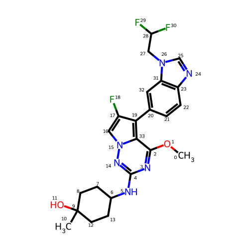 COc1nc(NC2CCC(C)(O)CC2)nn2cc(F)c(-c3ccc4ncn(CC(F)F)c4c3)c12